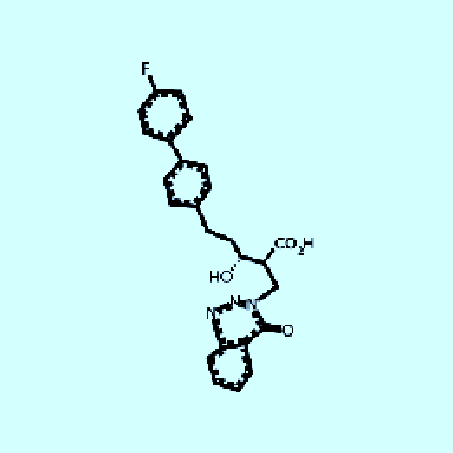 O=C(O)[C@@H](Cn1nnc2ccccc2c1=O)[C@H](O)CCc1ccc(-c2ccc(F)cc2)cc1